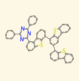 c1ccc(-c2nc(-c3ccccc3)nc(-c3cccc4sc5c(-c6cc(-c7cccc8c7sc7ccccc78)cc7c6sc6ccccc67)cccc5c34)n2)cc1